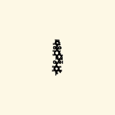 O=C(NC1=NCC2=CN(S(=O)(=O)c3cccs3)CCC2=N1)c1ccc(F)c(F)c1